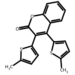 Cc1ccc(-c2c(-c3ccc(C)s3)c3ccccc3oc2=O)s1